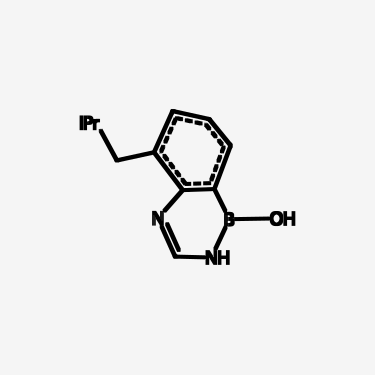 CC(C)Cc1cccc2c1N=CNB2O